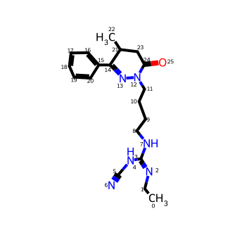 CC/N=C(\NC#N)NCCCCN1N=C(c2ccccc2)C(C)CC1=O